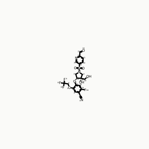 N#Cc1cc(OCC(F)(F)F)c(O[C@H]2CN(S(=O)(=O)c3ccc(C=O)nc3)C[C@@]2(O)CO)cc1F